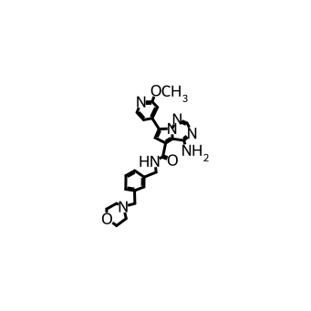 COc1cc(-c2cc(C(=O)NCc3cccc(CN4CCOCC4)c3)c3c(N)ncnn23)ccn1